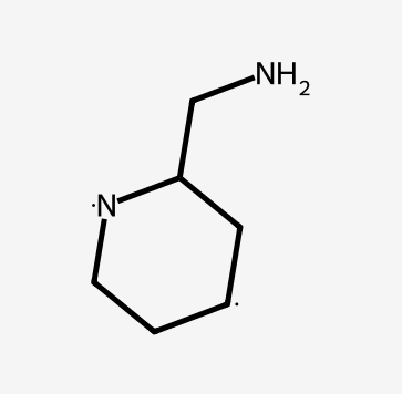 NCC1C[CH]CC[N]1